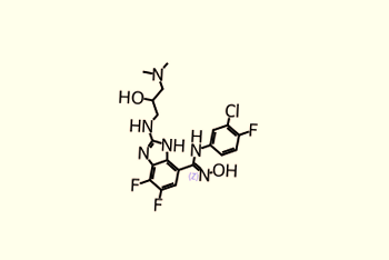 CN(C)CC(O)CNc1nc2c(F)c(F)cc(/C(=N/O)Nc3ccc(F)c(Cl)c3)c2[nH]1